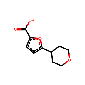 O=C(O)c1ccc(C2CCOCC2)o1